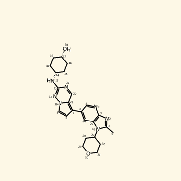 Cc1nc2ncc(-c3ccn4nc(N[C@H]5CC[C@@H](O)CC5)ncc34)cc2n1C1CCOCC1